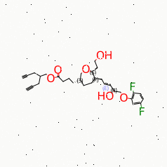 C#CCC(CC#C)COC(=O)CCC[C@H]1CC[C@H](C/C=C/[C@@H](O)COc2cc(F)ccc2F)[C@H](CCO)OC1